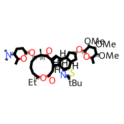 CC[C@H]1CCC[C@H](O[C@H]2CC[C@H](N(C)C)C(C)O2)[C@@H](C)C(=O)C2=C[C@H]3[C@@H]4C[C@H](O[C@@H]5OC(C)[C@H](OC)C(OC)C5OC)C[C@H]4c4sc(C(C)(C)C)nc4[C@H]3[C@@H]2CC(=O)O1